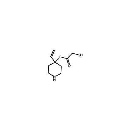 C=CC1(OC(=O)CS)CCNCC1